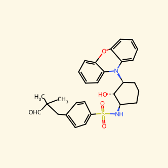 CC(C)(C=O)Cc1ccc(S(=O)(=O)N[C@@H]2CCC[C@H](N3c4ccccc4Oc4ccccc43)[C@H]2O)cc1